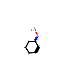 O/N=C1/C#CCCC1